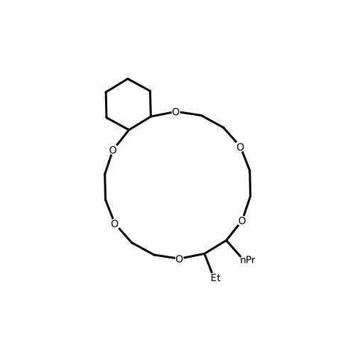 CCCC1OCCOCCOC2CCCCC2OCCOCCOC1CC